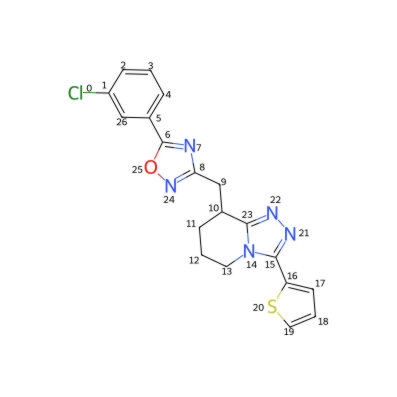 Clc1cccc(-c2nc(CC3CCCn4c(-c5cccs5)nnc43)no2)c1